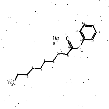 CCCCCCCCCC(=O)Oc1ccccc1.[Hg]